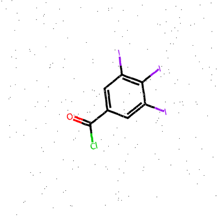 O=C(Cl)c1cc(I)c(I)c(I)c1